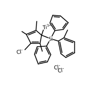 CC1=C(C)[C]([Ti+3])([Si](c2ccccc2)(c2ccccc2)c2ccccc2C)C(C)=C1C.[Cl-].[Cl-].[Cl-]